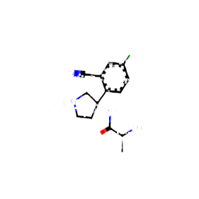 C[C@H](N)C(=O)N[C@]1(c2ccc(Br)cc2C#N)CCNC1.Cl